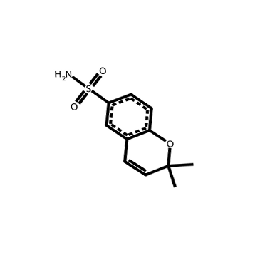 CC1(C)C=Cc2cc(S(N)(=O)=O)ccc2O1